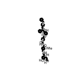 COc1cc(CNC[C@H](O)c2ccc(O)c3[nH]c(=O)ccc23)ccc1C(=O)NCC(=O)N1CCC(COc2cccc([C@@](O)([SiH2]c3ccccc3)C(=O)OCC3CCN(Cc4ccccc4)CC3)c2)CC1